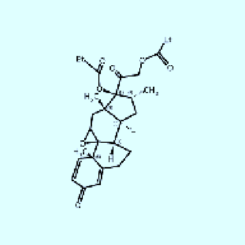 CCC(=O)OCC(=O)[C@]1(OC(=O)CC)[C@H](C)C[C@H]2[C@@H]3CCC4=CC(=O)C=C[C@]4(C)C34OC4C[C@@]21C